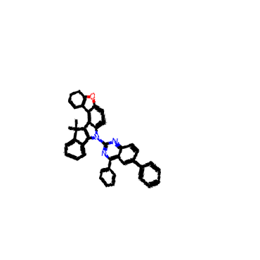 CC1(C)c2ccccc2-c2c1c1c3c4c(oc3ccc1n2-c1nc(-c2ccccc2)c2cc(-c3ccccc3)ccc2n1)CCC=C4